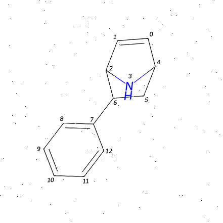 C1=CC2NC1CC2c1ccccc1